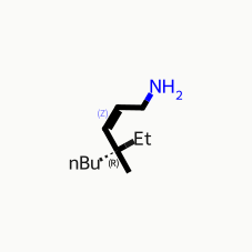 CCCC[C@](C)(/C=C\CN)CC